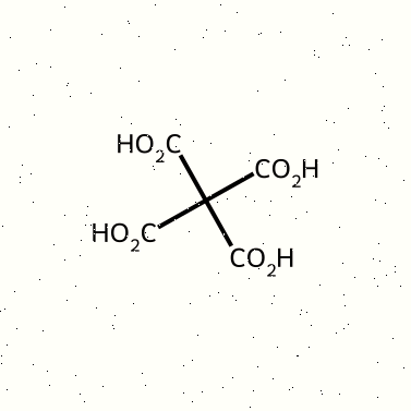 O=C(O)C(C(=O)O)(C(=O)O)C(=O)O